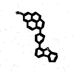 CC(C)(C)c1cc2ccc3ccc(-c4ccc(-c5cccc6c5oc5ccccc56)cc4)c4ccc(c1)c2c34